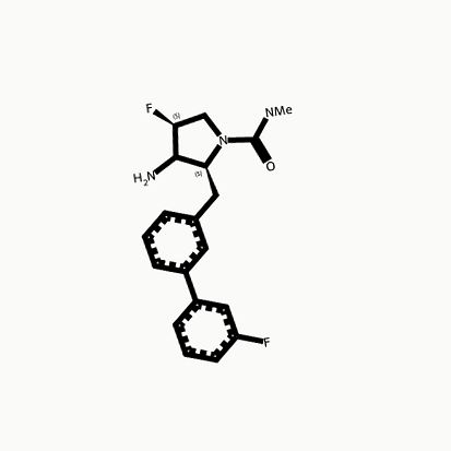 CNC(=O)N1C[C@H](F)C(N)[C@@H]1Cc1cccc(-c2cccc(F)c2)c1